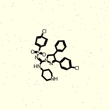 O=S(=O)(/N=C(/NC1CCNCC1)N1CC(c2ccccc2)C(c2ccc(Cl)cc2)=N1)c1ccc(Cl)cc1